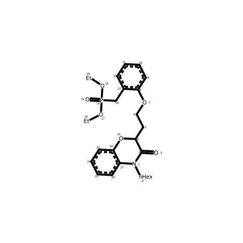 CCCCCCN1C(=O)C(CCOc2ccccc2CP(=O)(OCC)OCC)Oc2ccccc21